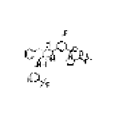 Cc1coc([C@H]2CCCN2C(=O)c2cc(CF)cc(C(=O)N[C@@H](Cc3ccccc3)[C@@H](O)CNCc3cncc(C(C)(C)F)c3)c2)n1